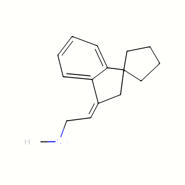 CNC/C=C1/CC2(CCCC2)c2ccccc21